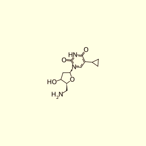 NC[C@@H]1O[C@H](n2cc(C3CC3)c(=O)[nH]c2=O)CC1O